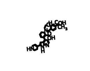 CC(C)(O)c1ccc2c(c1)OCCN(C1CC=CC(c3ccnc4[nH]c(C5=CCNCC5)cc34)=C1CO)C2=O